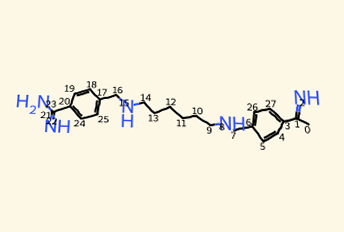 CC(=N)c1ccc(CNCCCCCCNCc2ccc(C(=N)N)cc2)cc1